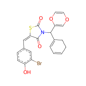 O=C1SC(=Cc2ccc(O)c(Br)c2)C(=O)N1C(C1=CC=CCC1)C1=COC=CO1